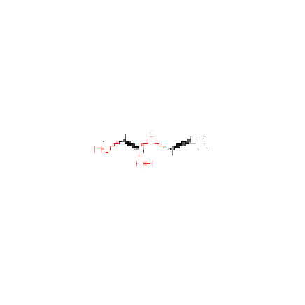 C=COC(O)=CO